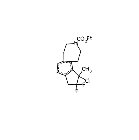 CCOC(=O)N1CCc2ccc3c(c2CC1)C(C)(Cl)C(F)(F)C3